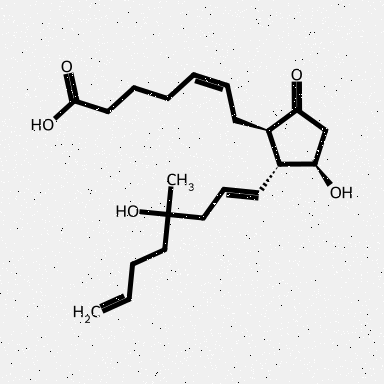 C=CCCC(C)(O)C/C=C/[C@H]1[C@H](O)CC(=O)[C@@H]1C/C=C\CCCC(=O)O